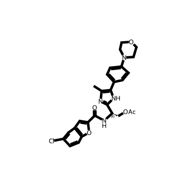 CC(=O)OC[C@H](NC(=O)c1cc2cc(Cl)ccc2o1)c1nc(C)c(-c2ccc(N3CCOCC3)cc2)[nH]1